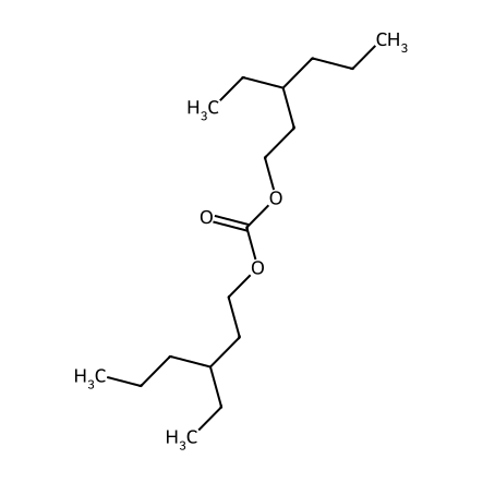 CCCC(CC)CCOC(=O)OCCC(CC)CCC